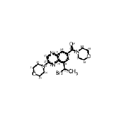 CC(Br)c1cc(C(=O)N2CCOCC2)cc2ncc(N3CCOCC3)nc12